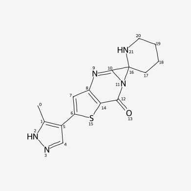 Cc1[nH]ncc1-c1cc2nc3n(c(=O)c2s1)C31CCCCN1